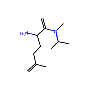 C=C(C)CCC(N)C(=C)N(C)C(C)C